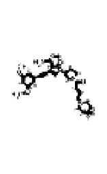 COc1cc(C#Cc2cn([C@H]3CCN(C(=O)/C=C/CN4CCC(F)(F)CC4)C3)c3ncnc(N)c23)cc(OC)c1